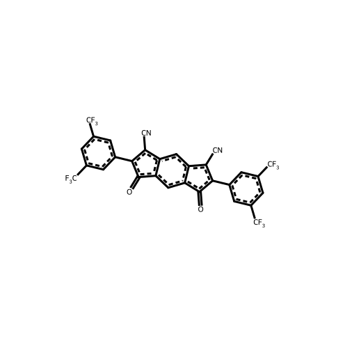 N#Cc1c(-c2cc(C(F)(F)F)cc(C(F)(F)F)c2)c(=O)c2cc3c(=O)c(-c4cc(C(F)(F)F)cc(C(F)(F)F)c4)c(C#N)c3cc12